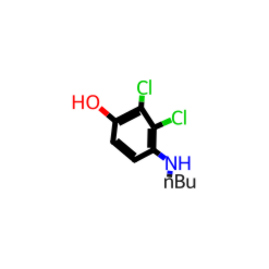 CCCCNc1ccc(O)c(Cl)c1Cl